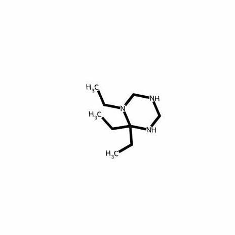 CCN1CNCNC1(CC)CC